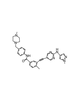 Cc1ccc(C(=O)Nc2ccc(CN3CCN(C)CC3)cc2)cc1C#Cc1cnc(Nc2cnn(C)c2)nc1